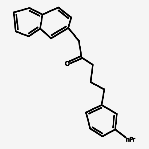 CCCc1cccc(CCCC(=O)Cc2ccc3ccccc3c2)c1